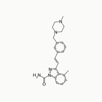 Cc1[c]ccc2c1c(C=Cc1cccc(CN3CCN(C)CC3)c1)nn2C(N)=O